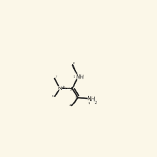 CN/C(=C(/C)N)N(C)C